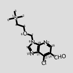 CS(C)(C)CCOCn1cnc2c(Cl)c(C=O)cnc21